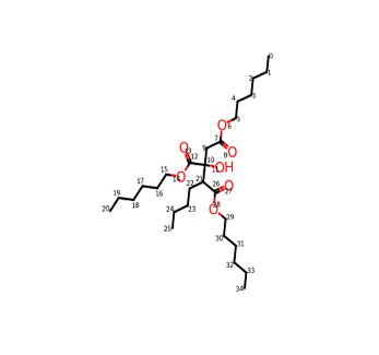 CCCCCCOC(=O)CC(O)(C(=O)OCCCCCC)C(CCCC)C(=O)OCCCCCC